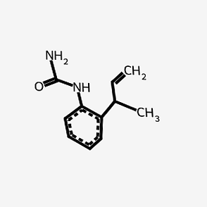 C=CC(C)c1ccccc1NC(N)=O